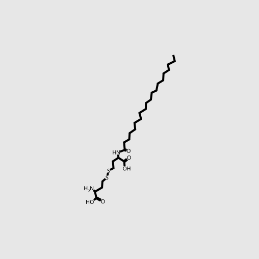 CCCCCCCCCCCCCCCCCCCC(=O)NC(CCSSCCC(N)C(=O)O)C(=O)O